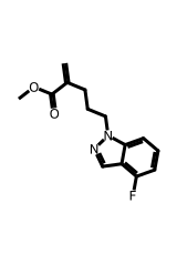 C=C(CCCn1ncc2c(F)cccc21)C(=O)OC